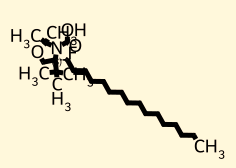 CCCCCCCCCCCCCC=CC(F)[C@]1(C(C)(C)C)COC(C)(C)N1C(=O)O